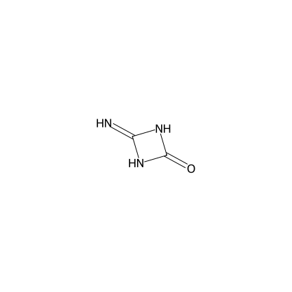 N=C1NC(=O)N1